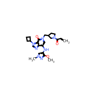 C=CC(=O)N1CCC(Cn2cc(Nc3cn(C)nc3OC)c3ncn(C4CCC4)c3c2=O)C1